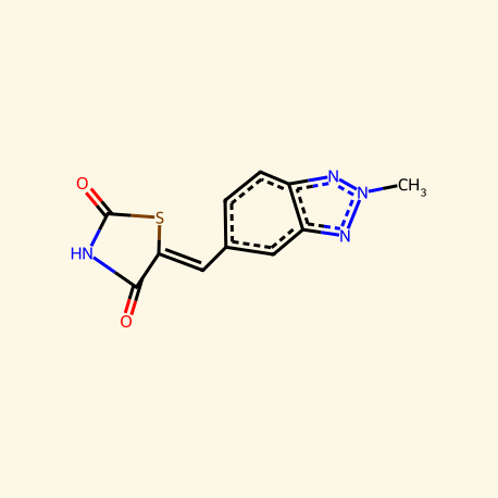 Cn1nc2ccc(/C=C3\SC(=O)NC3=O)cc2n1